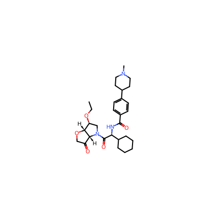 CCO[C@H]1CN(C(=O)[C@@H](NC(=O)c2ccc(C3CCN(C)CC3)cc2)C2CCCCC2)[C@@H]2C(=O)CO[C@H]12